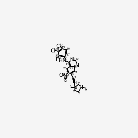 CN1CCC(C)(C#Cc2cc3ncnc(Nc4ccc(Cl)c(Cl)c4F)c3cc2[N+](=O)[O-])C1